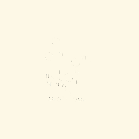 COc1ccc(CN(c2ncns2)S(=O)(=O)c2cc(F)c(Oc3cc(C)cc(C4CN(C(c5ccccc5)c5ccccc5)C4)c3)cc2F)c(OC)c1